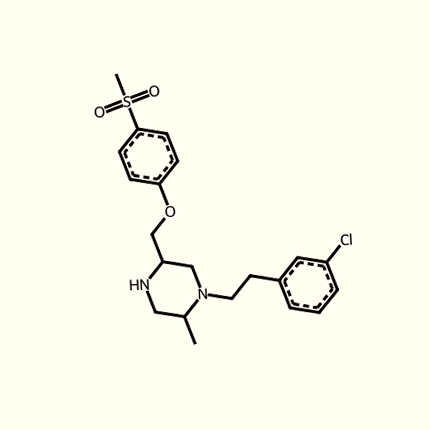 CC1CNC(COc2ccc(S(C)(=O)=O)cc2)CN1CCc1cccc(Cl)c1